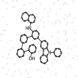 Oc1ccccc1-c1ccccc1-c1cccc(-c2cc(-c3ccc4c(c3)c3ccccc3n4-c3ccccc3)ccc2Nc2cccc3ccccc23)c1